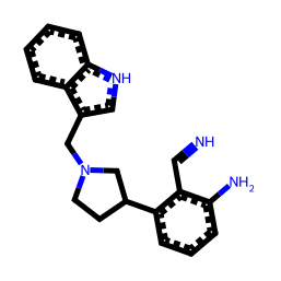 N=Cc1c(N)cccc1C1CCN(Cc2c[nH]c3ccccc23)C1